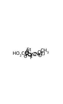 CCn1cc(C(=O)O)c(=O)c2cc(F)c(N3CCN(C(=O)OC(C)Cl)CC3)cc21